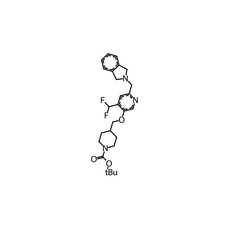 CC(C)(C)OC(=O)N1CCC(COc2cnc(CN3Cc4ccccc4C3)cc2C(F)F)CC1